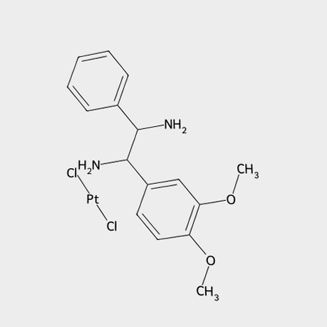 COc1ccc(C(N)C(N)c2ccccc2)cc1OC.[Cl][Pt][Cl]